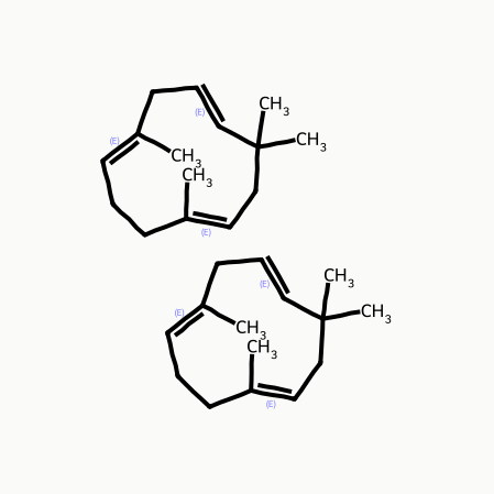 C/C1=C\CC/C(C)=C/CC(C)(C)/C=C/C1.C/C1=C\CC/C(C)=C/CC(C)(C)/C=C/C1